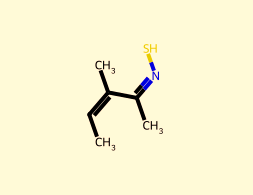 C/C=C(C)\C(C)=N/S